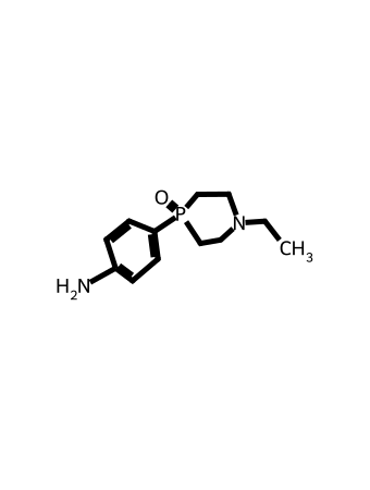 CCN1CCP(=O)(c2ccc(N)cc2)CC1